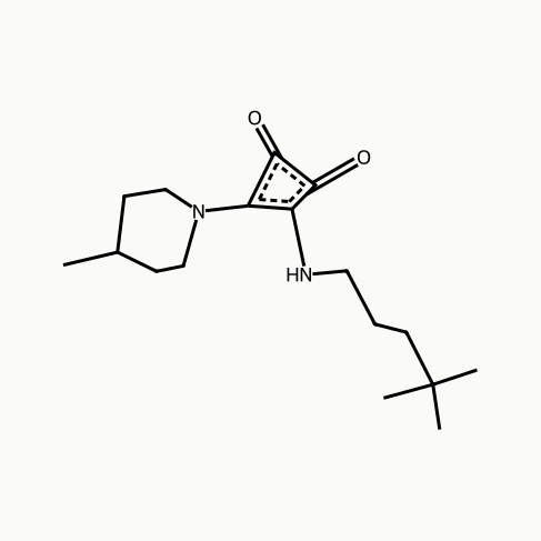 CC1CCN(c2c(NCCCC(C)(C)C)c(=O)c2=O)CC1